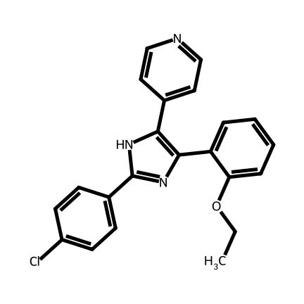 CCOc1ccccc1-c1nc(-c2ccc(Cl)cc2)[nH]c1-c1ccncc1